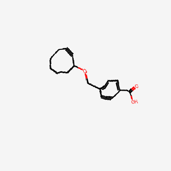 O=C(O)c1c#cc(COC2C#CCCCCC2)cc1